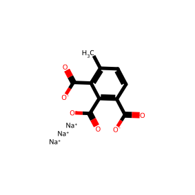 Cc1ccc(C(=O)[O-])c(C(=O)[O-])c1C(=O)[O-].[Na+].[Na+].[Na+]